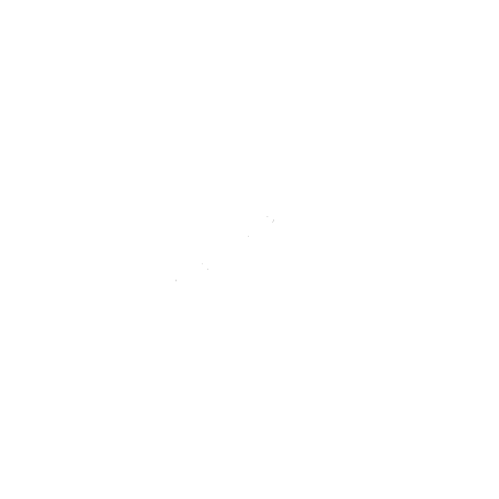 O=C(O)CNC12CC(n3cc(I)nc3C3CC3)(C1)C2